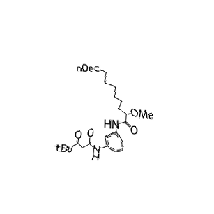 CCCCCCCCCCCCCCCCC(OC)C(=O)Nc1cccc(NC(=O)CC(=O)C(C)(C)C)c1